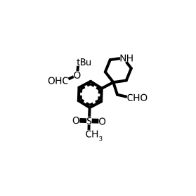 CC(C)(C)OC=O.CS(=O)(=O)c1cccc(C2(CC=O)CCNCC2)c1